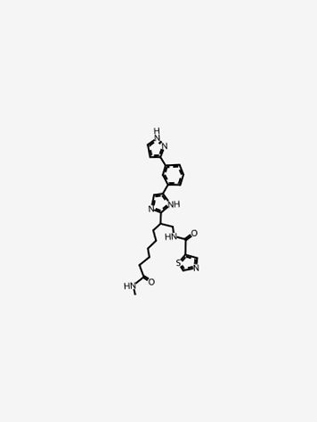 CNC(=O)CCCCCC(CNC(=O)c1cncs1)c1ncc(-c2cccc(-c3cc[nH]n3)c2)[nH]1